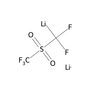 [Li].[Li][C](F)(F)S(=O)(=O)C(F)(F)F